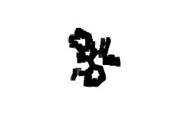 CCCCNc1c(-c2ccccc2F)nc2sccn12